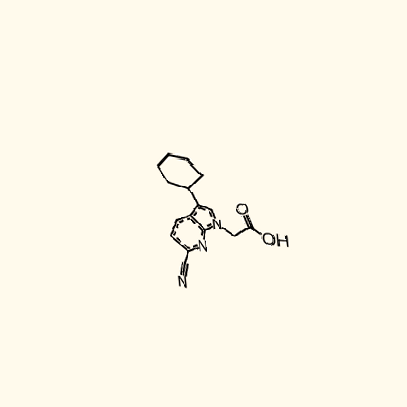 N#Cc1ccc2c(C3CCCCC3)cn(CC(=O)O)c2n1